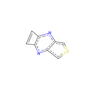 C1=Cc2nc3cscc3nc21